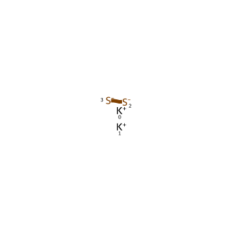 [K+].[K+].[S-][S-]